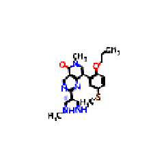 CCCOc1ccc(SC)cc1-c1cn(C)c(=O)c2cnc(/C(C=N)=C/NC)nc12